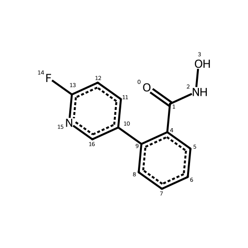 O=C(NO)c1ccccc1-c1ccc(F)nc1